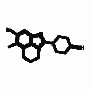 Cc1c(Br)cc2nc(N3CCC(=N)CC3)n3c2c1CCC3